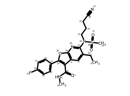 CCc1cc2c(C(=O)NC)c(-c3ccc(F)cc3)oc2nc1N(CCCC#N)S(C)(=O)=O